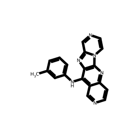 Cc1cccc(Nc2c3cnccc3nc3c2nc2cnccn23)c1